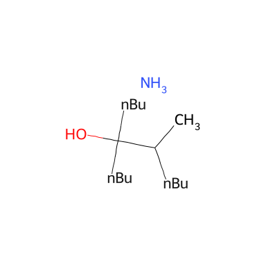 CCCCC(C)C(O)(CCCC)CCCC.N